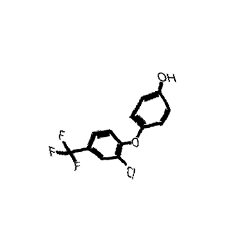 Oc1ccc(Oc2ccc(C(F)(F)F)cc2Cl)cc1